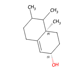 CC1CCC2=C[C@@H](O)CC[C@]2(C)C1C